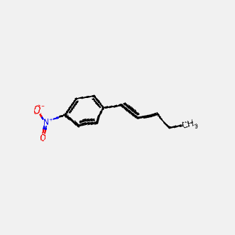 CCCC=Cc1ccc([N+](=O)[O-])cc1